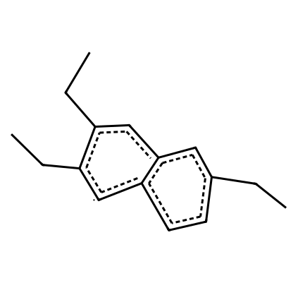 CCc1ccc2[c]c(CC)c(CC)cc2c1